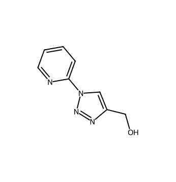 OCc1cn(-c2ccccn2)nn1